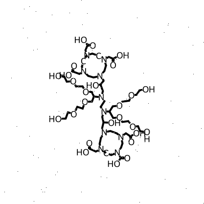 O=C(O)CN1CCN(CC(=O)O)CCN(CC(O)CN(CCN(CC(O)CN2CCN(CC(=O)O)CCN(C(=O)O)CCN(CC(=O)O)CC2)C(COCCOCCO)COCCOCCO)C(COCCOCCO)COCCOCCO)CCN(CC(=O)O)CC1